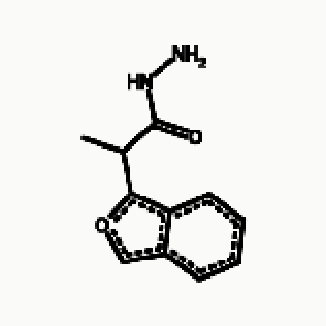 CC(C(=O)NN)c1occ2ccccc12